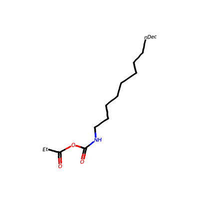 CCCCCCCCCCCCCCCCCCNC(=O)OC(=O)CC